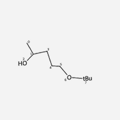 CC(O)CCCOC(C)(C)C